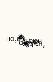 C[C@@H](O)CCC[C@H](O)/C=C/[C@@H]1[C@@H](CCCc2cccc(C(=O)O)c2)[C@H](Cl)C[C@H]1O